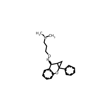 CN(C)CCCON=C1c2ccccc2OC2(c3ccccc3)CC12